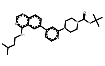 CC(C)CCNc1ncnc2ccc(-c3ccnc(N4CCN(C(=O)OC(C)(C)C)CC4)c3)cc12